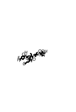 CCc1c(N2CC3(CN(C(=O)c4ncnc(C)c4O)C3)C2)c(=O)n2nc(/C=C/COC)nc2n1CC(=O)Nc1ccc(C(F)(F)F)cc1Cl